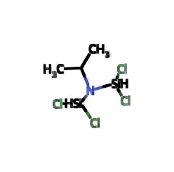 CC(C)N([SiH](Cl)Cl)[SiH](Cl)Cl